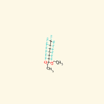 CCOC1(C(F)(F)C(F)(F)C(F)(F)C(F)(F)C(F)(F)C(F)(F)F)OC1C